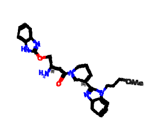 COCCCn1c([C@@H]2CCCN(C(=O)C[C@@H](N)COc3nc4ccccc4[nH]3)C2)nc2ccccc21